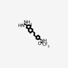 N=C(N)c1ccc2cc(/C=C/c3ccc(NC(=O)C(F)(F)F)cc3)ccc2c1